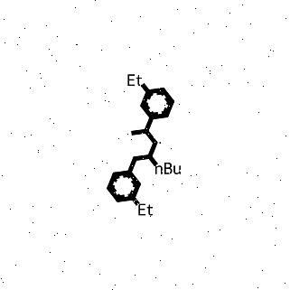 CCCCC([CH]C(C)c1cccc(CC)c1)Cc1cccc(CC)c1